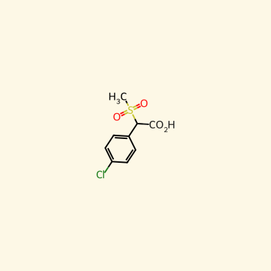 CS(=O)(=O)C(C(=O)O)c1ccc(Cl)cc1